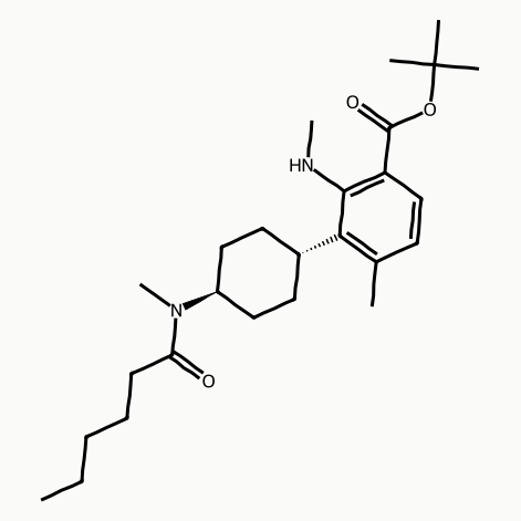 CCCCCC(=O)N(C)[C@H]1CC[C@H](c2c(C)ccc(C(=O)OC(C)(C)C)c2NC)CC1